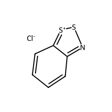 [Cl-].c1ccc2[s+]snc2c1